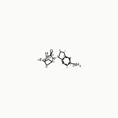 Nc1ccc2c(c1)CC[C@H]2N1C(=O)NC2(F)CC1C2